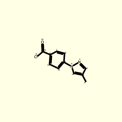 Cc1cnn(-c2ccc(C(=O)Cl)cc2)c1